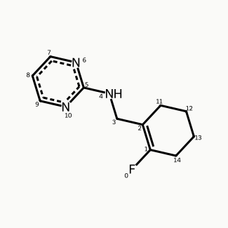 FC1=C(CNc2ncccn2)CCCC1